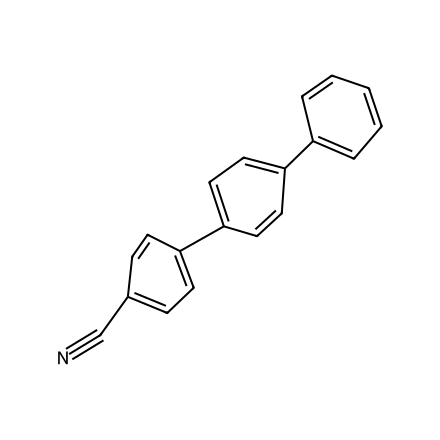 N#Cc1ccc(-c2ccc(-c3ccccc3)cc2)cc1